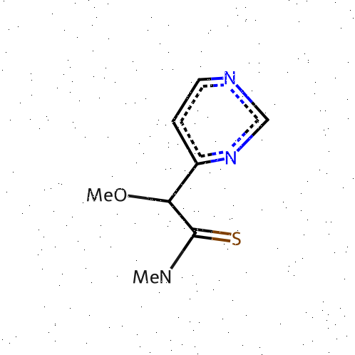 CNC(=S)C(OC)c1ccncn1